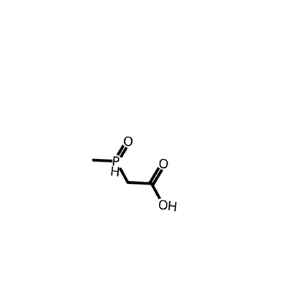 C[PH](=O)CC(=O)O